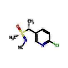 C[C@H](c1ccc(Cl)nc1)[S@](C)(=O)=NC#N